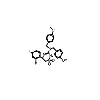 COc1ccc(CN(Cc2ccc(OC)cc2)C2=N[C@](C)(c3ccc(F)cc3F)CS(=O)(=O)N2C)cc1